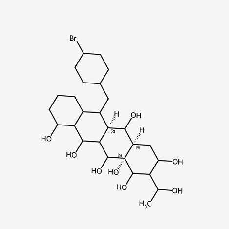 CC(O)C1C(O)C[C@@H]2C(O)[C@@H]3C(CC4CCC(Br)CC4)C4CCCC(O)C4C(O)C3C(O)[C@]2(O)C1O